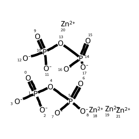 O=P([O-])([O-])OP(=O)([O-])[O-].O=P([O-])([O-])OP(=O)([O-])[O-].[Zn+2].[Zn+2].[Zn+2].[Zn+2]